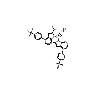 CC(C)C1=Cc2c(-c3ccc(C(F)(F)F)cc3)cccc2[CH]1[Zr+2]1([CH]2C(C(C)C)=Cc3c(-c4ccc(C(F)(F)F)cc4)cccc32)[CH2][CH2]1.[Cl-].[Cl-]